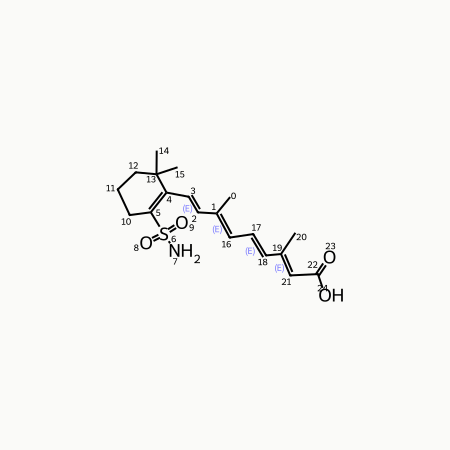 CC(/C=C/C1=C(S(N)(=O)=O)CCCC1(C)C)=C\C=C\C(C)=C\C(=O)O